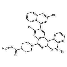 C=CC(=O)N1CCN(C2=NC3O[C@@H](CC)c4ccccc4N3c3cc(-c4cc(O)cc5ccccc45)c(Cl)cc32)CC1